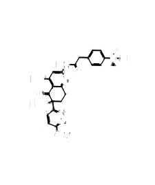 CCS(=O)(=O)c1ccc(CC(=O)Nc2cc(C)c3c(n2)CCC(C)(c2ccc(OC)nn2)C3=O)cc1